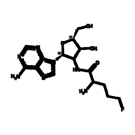 Nc1ncnc2c1ncn2[C@@H]1O[C@H](CO)C(O)C1NC(=O)C(N)CCCF